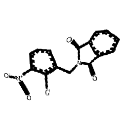 O=C1c2ccccc2C(=O)N1Cc1cccc([N+](=O)[O-])c1Cl